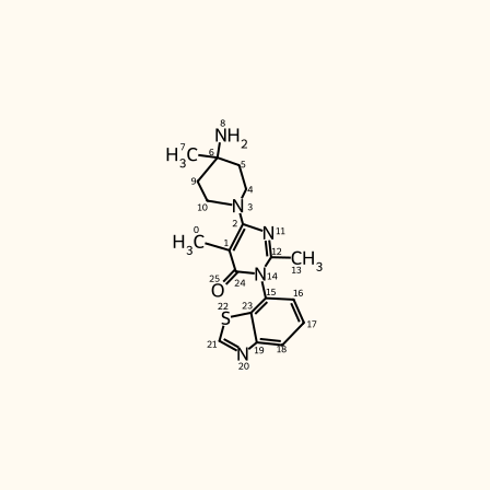 Cc1c(N2CCC(C)(N)CC2)nc(C)n(-c2cccc3ncsc23)c1=O